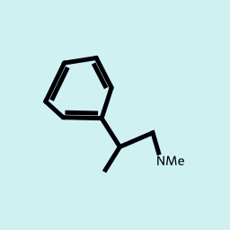 [CH]NCC(C)c1ccccc1